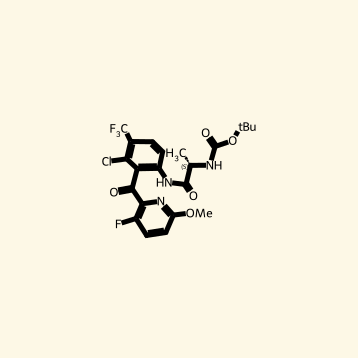 COc1ccc(F)c(C(=O)c2c(NC(=O)[C@H](C)NC(=O)OC(C)(C)C)ccc(C(F)(F)F)c2Cl)n1